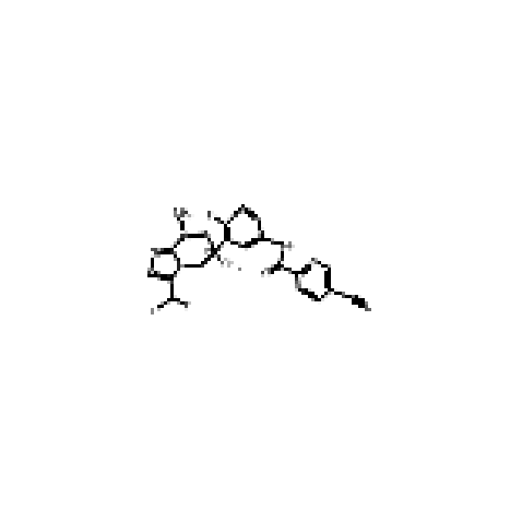 C[C@@]1(c2cc(NC(=O)c3ccc(C#N)cn3)ccc2F)Cn2c(C(F)F)cnc2C(N)=N1